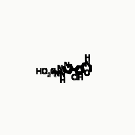 CN(C(=O)O)c1nc2ncc(-c3ccc4c(c3)CNCCO4)cc2[nH]1.Cl